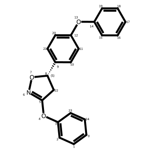 c1ccc(OC2=NO[C@H](c3ccc(Oc4ccccc4)cc3)C2)cc1